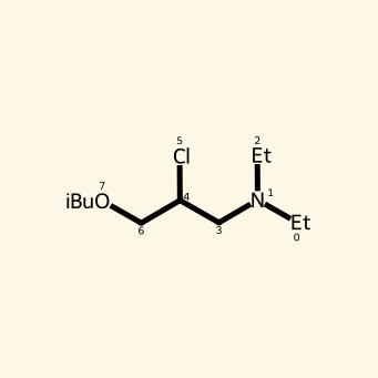 CCN(CC)CC(Cl)COCC(C)C